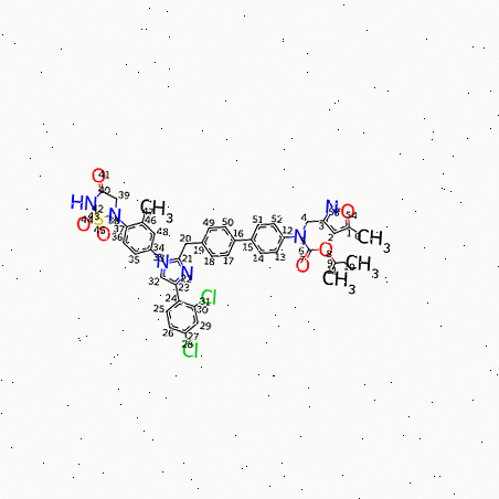 Cc1cc(CN(C(=O)OC(C)C)c2ccc(-c3ccc(Cc4nc(-c5ccc(Cl)cc5Cl)cn4-c4ccc(N5CC(=O)NS5(=O)=O)c(C)c4)cc3)cc2)no1